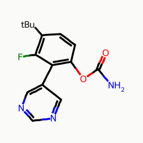 CC(C)(C)c1ccc(OC(N)=O)c(-c2cncnc2)c1F